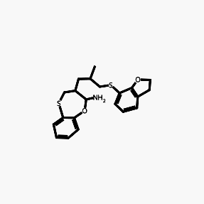 CC(CSc1cccc2c1OCC2)CC1CSc2ccccc2OC1N